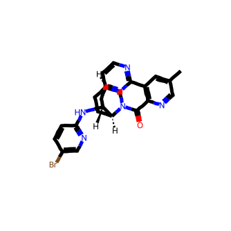 Cc1cnc(C(=O)N2C[C@@H]3CC[C@H]2[C@H](Nc2ccc(Br)cn2)C3)c(-c2ncccn2)c1